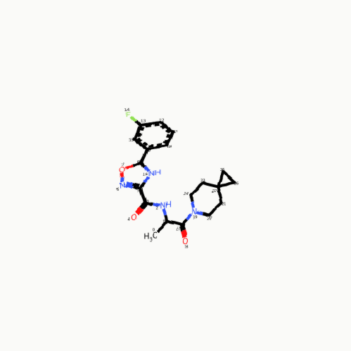 CC(NC(=O)C1=NOC(c2cccc(F)c2)N1)C(=O)N1CCC2(CC1)CC2